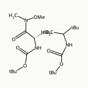 CCCCC(NC(=O)OC(C)(C)C)C(=O)O.CCCC[C@H](NC(=O)OC(C)(C)C)C(=O)N(C)OC